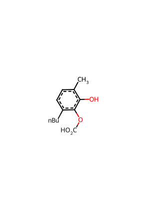 CCCCc1ccc(C)c(O)c1OC(=O)O